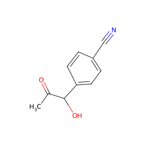 CC(=O)C(O)c1ccc(C#N)cc1